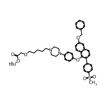 CC(C)(C)OC(=O)COCCCCCN1CCN(c2ccc(Oc3c(-c4ccc(S(C)(=O)=O)cc4)ccc4cc(OCc5ccccc5)ccc34)cc2)CC1